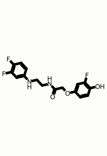 O=C(COc1ccc(O)c(F)c1)NCCNc1ccc(F)c(F)c1